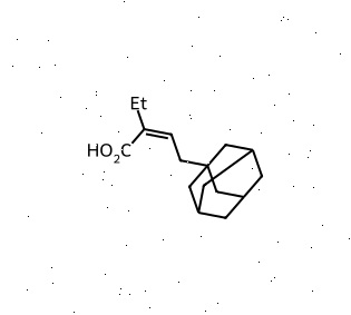 CCC(=CCC12CC3CC(CC(C3)C1)C2)C(=O)O